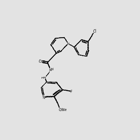 COc1ncc(NNC(=O)C2=CN(c3cccc(Cl)c3)CC=C2)cc1F